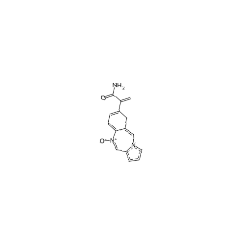 C=C(C(N)=O)C1=CC=C2C(=Cn3cccc3C=[N+]2[O-])C1